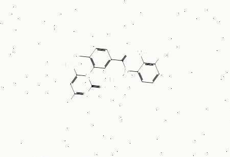 COc1c(C)cccc1N(C)C(=O)c1ccc(Cl)c(-n2c(C)cc(C)nc2=O)c1